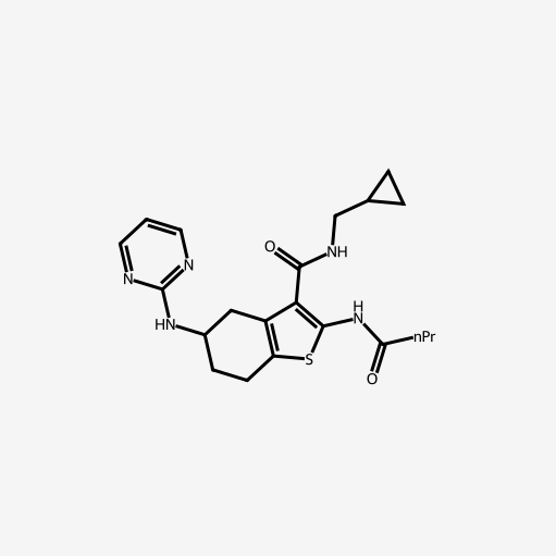 CCCC(=O)Nc1sc2c(c1C(=O)NCC1CC1)CC(Nc1ncccn1)CC2